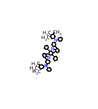 Cc1cc(N(c2ccccc2)c2ccc3c(c2)c2cccc4c5c(-c6ccccc6)c6c(c(-c7ccccc7)c5n3c24)c2cccc3c4cc(N(c5ccccc5)c5cc(C)c(C)c(C)c5)ccc4n6c32)cc(C)c1C